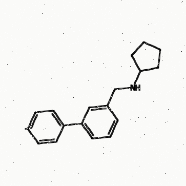 [c]1ccc(-c2cccc(CNC3CCCC3)c2)cc1